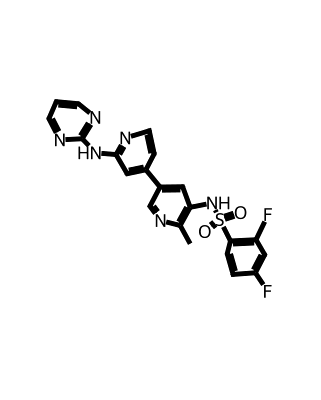 Cc1ncc(-c2ccnc(Nc3ncccn3)c2)cc1NS(=O)(=O)c1ccc(F)cc1F